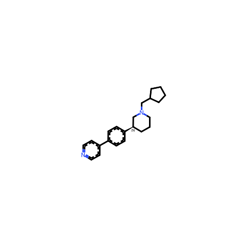 c1cc(-c2ccc([C@@H]3CCCN(CC4CCCC4)C3)cc2)ccn1